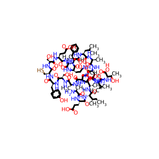 CC[C@H](C)[C@H](NC(=O)[C@H](CCC(=O)O)NC(=O)[C@H](C)N)C(=O)N[C@@H](C)C(=O)N[C@@H](CCSC)C(=O)N[C@@H](C)C(=O)N[C@@H](CO)C(=O)N[C@@H](Cc1ccc(O)cc1)C(=O)N[C@@H](CS)C(=O)N[C@@H](CO)C(=O)N[C@@H](CCC(=O)O)C(=O)N[C@@H](CC(C)C)C(=O)N[C@@H](CCC(N)=O)C(=O)N[C@@H](Cc1ccccc1)C(=O)N[C@@H](CC(C)C)C(=O)N[C@@H](C)C(=O)N[C@@H](CC(N)=O)C(=O)N1CCC[C@H]1C(=O)N[C@H](C(=O)N[C@H](C(=O)O)[C@@H](C)O)C(C)C